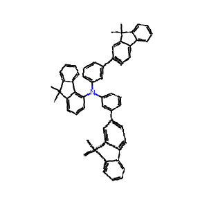 CC1(C)c2ccccc2-c2ccc(-c3cccc(N(c4cccc(-c5ccc6c(c5)C(C)(C)c5ccccc5-6)c4)c4cccc5c4-c4ccccc4C5(C)C)c3)cc21